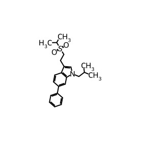 CC(C)Cn1cc(CCS(=O)(=O)C(C)C)c2ccc(-c3ccccc3)cc21